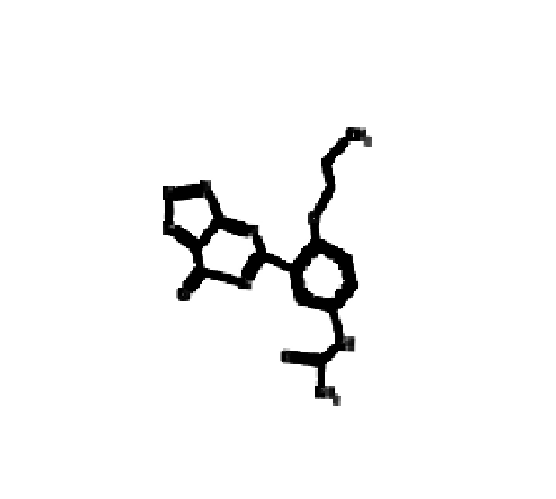 CCCOc1ccc(NC(N)=O)cc1C1=NC(=O)C2=NN=NC2=N1